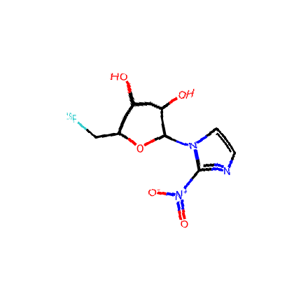 O=[N+]([O-])c1nccn1C1OC(C[18F])C(O)C1O